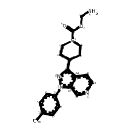 NCOC(=O)N1CCC(c2nn(-c3ccc(Cl)cc3)c3cnccc23)CC1